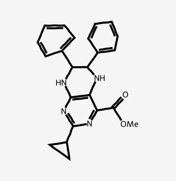 COC(=O)c1nc(C2CC2)nc2c1NC(c1ccccc1)C(c1ccccc1)N2